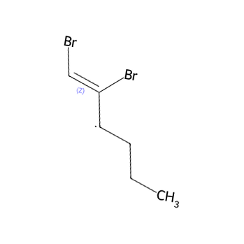 CCC[CH]/C(Br)=C/Br